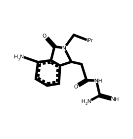 CC(C)CN1C(=O)c2c(N)cccc2C1CC(=O)NC(=N)N